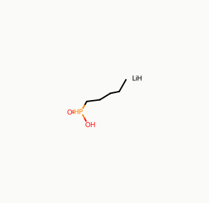 CCCCC[PH](=O)O.[LiH]